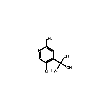 Cc1cc(C(C)(C)O)c(Cl)cn1